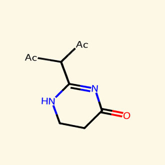 CC(=O)C(C(C)=O)C1=NC(=O)CCN1